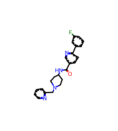 O=C(NC1CCN(Cc2ccccn2)CC1)c1ccc(-c2cccc(F)c2)nc1